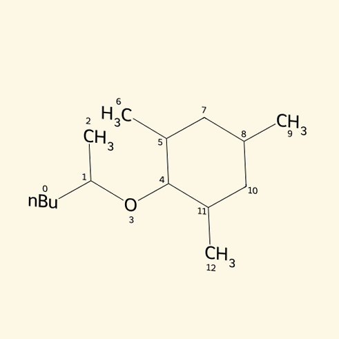 CCCCC(C)OC1C(C)CC(C)CC1C